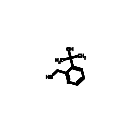 CC(C)(O)c1cccnc1CO